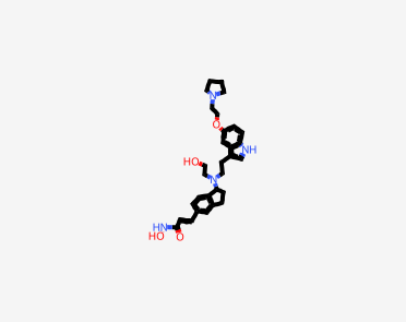 O=C(/C=C/c1ccc2c(c1)CCC2N(CCO)CCc1c[nH]c2ccc(OCCN3CCCC3)cc12)NO